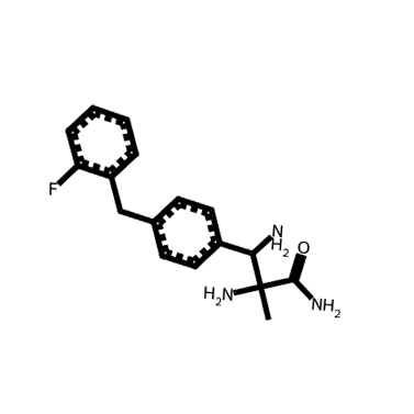 CC(N)(C(N)=O)C(N)c1ccc(Cc2ccccc2F)cc1